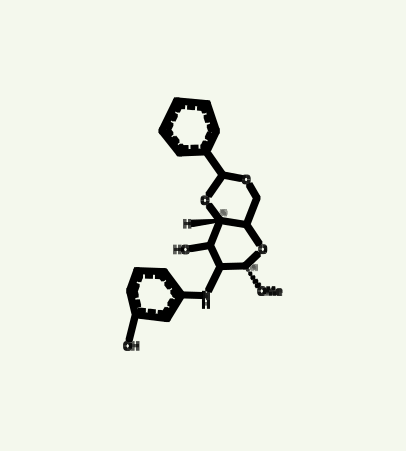 CO[C@H]1OC2COC(c3ccccc3)O[C@H]2C(O)C1Nc1cccc(O)c1